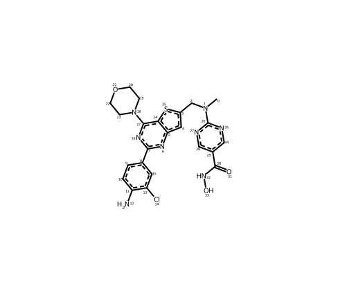 CN(Cc1cc2nc(-c3ccc(N)c(Cl)c3)nc(N3CCOCC3)c2s1)c1ncc(C(=O)NO)cn1